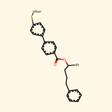 CCCCCCCCCSc1ccc(-c2ccc(C(=O)OC(CCC)CCCc3ccccc3)cc2)cc1